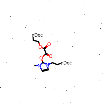 CCCCCCCCCCCCOC(=O)C(=O)OC1N(C)C=CN1CCCCCCCCCCCC